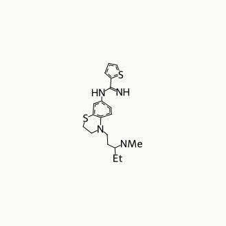 CCC(CCN1CCSc2cc(NC(=N)c3cccs3)ccc21)NC